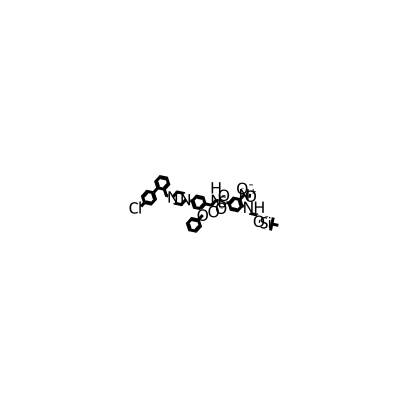 CC(C)(C)[Si](C)(C)OCCNc1ccc(S(=O)(=O)NC(=O)c2ccc(N3CCN(Cc4ccccc4-c4ccc(Cl)cc4)CC3)cc2Oc2ccccc2)cc1[N+](=O)[O-]